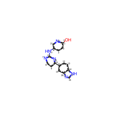 Oc1ccc(Nc2nccc(-c3ccc4[nH]cnc4c3)n2)cn1